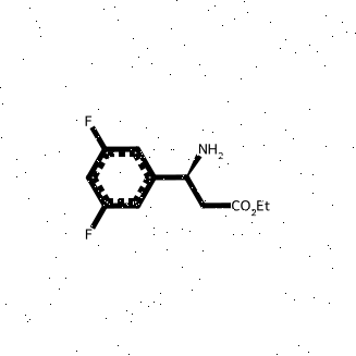 CCOC(=O)C[C@H](N)c1cc(F)cc(F)c1